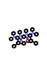 c1ccc(-c2cc3c4c(c2)c2ccccc2n4B2c4cc5c(cc4N(c4ccccc4)c4cc(N(c6ccccc6)c6ccccc6)cc-3c42)N(c2ccccc2)c2cc(N(c3ccccc3)c3ccccc3)cc3c2B5n2c4ccccc4c4cc(-c5ccccc5)cc-3c42)cc1